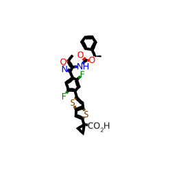 Cc1onc(-c2cc(F)c(-c3cc4sc(C5(C(=O)O)CC5)cc4s3)cc2F)c1NC(=O)O[C@H](C)c1ccccc1